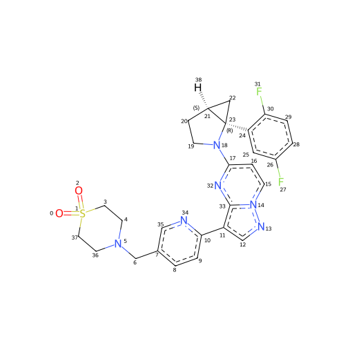 O=S1(=O)CCN(Cc2ccc(-c3cnn4ccc(N5CC[C@H]6C[C@]65c5cc(F)ccc5F)nc34)nc2)CC1